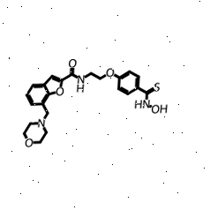 O=C(NCCOc1ccc(C(=S)NO)cc1)c1cc2cccc(CN3CCOCC3)c2o1